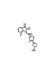 Cc1cc(N/C=C2\C(=O)Nc3cccc(F)c32)ccc1N1CCC(N(C)C)C1